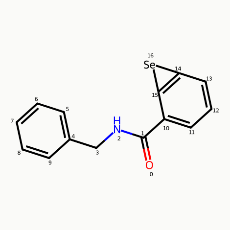 O=C(NCc1ccccc1)c1cccc2c1[Se]2